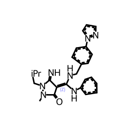 CC(C)CN1C(=N)/C(=C(\NCc2ccc(-n3cccn3)cc2)Nc2ccccc2)C(=O)N1C